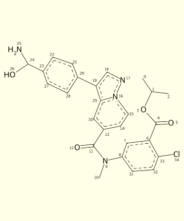 CC(C)OC(=O)c1cc(N(C)C(=O)c2ccn3ncc(-c4ccc(C(N)O)cc4)c3c2)ccc1Cl